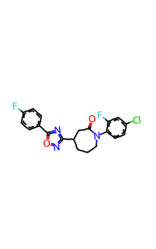 O=C1CC(c2noc(-c3ccc(F)cc3)n2)CCCN1c1ccc(Cl)cc1F